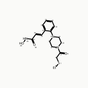 CCSCC(=O)N1CCN(c2ccccc2C=CC(=O)NO)CC1